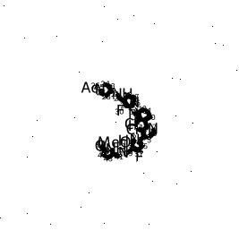 COc1nc(-c2ccnc(-c3cccc(Nc4nccc(CNC5CCN(C(C)=O)CC5)c4F)c3Cl)c2Cl)cc(F)c1CNCC1CCC(=O)N1